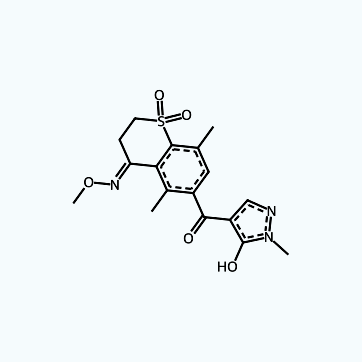 CO/N=C1\CCS(=O)(=O)c2c(C)cc(C(=O)c3cnn(C)c3O)c(C)c21